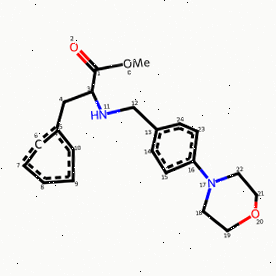 COC(=O)C(Cc1ccccc1)NCc1ccc(N2CCOCC2)cc1